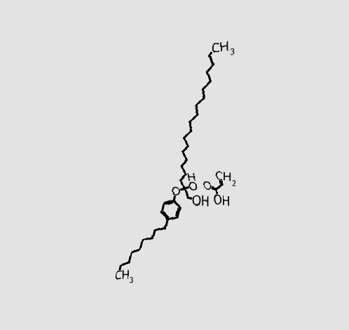 C=CC(=O)O.CCCCCCCCCCCCCCCCCCC(O)(CO)Oc1ccc(CCCCCCCCC)cc1